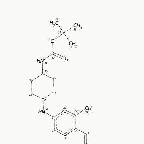 C=Cc1ccc(NC2CCC(NC(=O)OC(C)(C)C)CC2)cc1C